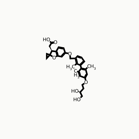 Cc1cc(OCC[C@@H](O)CO)cc(C)c1-c1cccc(COc2ccc3c(c2)OC2(CC2)[C@H]3CC(=O)O)c1C